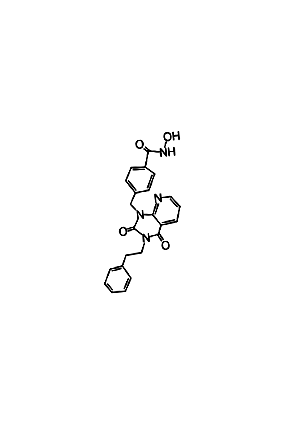 O=C(NO)c1ccc(Cn2c(=O)n(CCc3ccccc3)c(=O)c3cccnc32)cc1